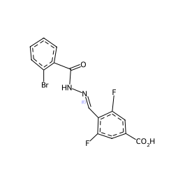 O=C(O)c1cc(F)c(/C=N/NC(=O)c2ccccc2Br)c(F)c1